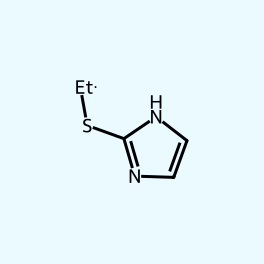 C[CH]Sc1ncc[nH]1